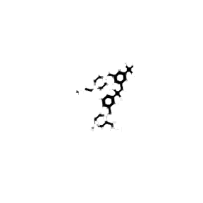 COCCN1CCN(Cc2cc(CC(C)(C)c3cccc(CN4CCN(C)CC4CO)c3)cc(C(C)(C)C)c2)CC1